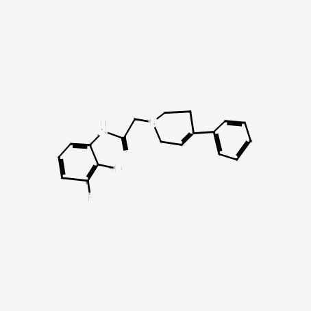 CCc1cccc(NC(=O)CN2CC=C(c3ccccc3)CC2)c1CC